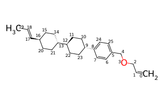 C=CCOCc1ccc([C@H]2CC[C@H]([C@H]3CC[C@H](C=CC)CC3)CC2)cc1